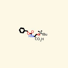 CC(C)(C)[Si](C)(C)OC[C@H](NC(=O)OCc1ccccc1)C(=O)O